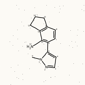 Cn1nccc1-c1ccc2c(c1N)CCC2